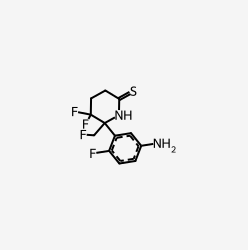 Nc1ccc(F)c(C2(CF)NC(=S)CCC2(F)F)c1